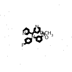 CS(=O)(=O)c1cccc(N(c2ccc(F)cc2)C(c2cccnc2)c2cccnc2)c1